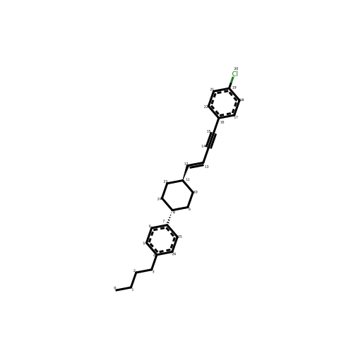 CCCCc1ccc([C@H]2CC[C@H](/C=C/C#Cc3ccc(Cl)cc3)CC2)cc1